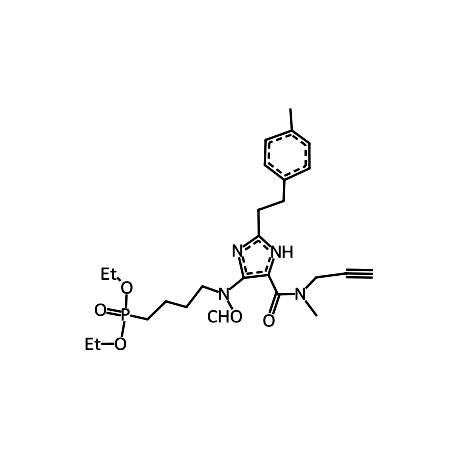 C#CCN(C)C(=O)c1[nH]c(CCc2ccc(C)cc2)nc1N(C=O)CCCCP(=O)(OCC)OCC